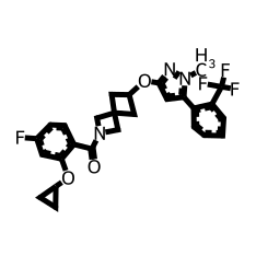 Cn1nc(OC2CC3(C2)CN(C(=O)c2ccc(F)cc2OC2CC2)C3)cc1-c1ccccc1C(F)(F)F